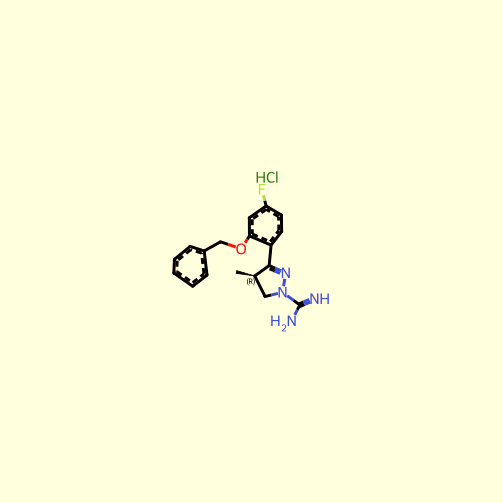 C[C@@H]1CN(C(=N)N)N=C1c1ccc(F)cc1OCc1ccccc1.Cl